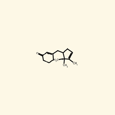 CC1=CCC(CC2=CC(=O)CCC2)C1(C)C